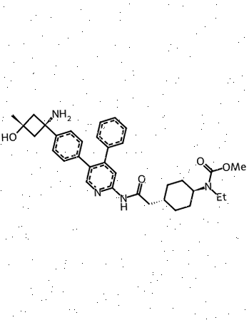 CCN(C(=O)OC)[C@H]1CC[C@H](CC(=O)Nc2cc(-c3ccccc3)c(-c3ccc([C@]4(N)C[C@](C)(O)C4)cc3)cn2)CC1